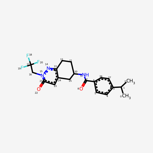 CC(C)c1ccc(C(=O)NC2CCc3nn(CC(F)(F)F)c(=O)cc3C2)cc1